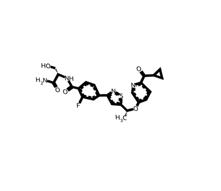 C[C@@H](Oc1ccc(C(=O)C2CC2)nc1)c1cc(-c2ccc(C(=O)N[C@@H](CO)C(N)=O)c(F)c2)ns1